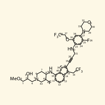 COCC(O)CN1CCC(Nc2cccc3c(CC(F)(F)F)c(C#CCNc4cc(F)c(N5CCOCC5)cc4OCC(F)(F)F)sc23)C(F)C1